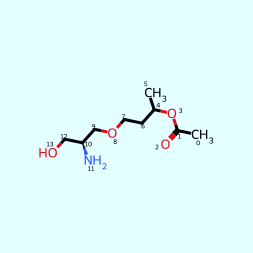 CC(=O)OC(C)CCOC[C@@H](N)CO